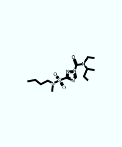 CCCCN(C)S(=O)(=O)c1ncn(C(=O)N(CC)C(C)CC)n1